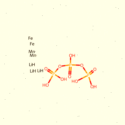 O=P(O)(O)OP(=O)(O)OP(=O)(O)O.[Fe].[Fe].[LiH].[LiH].[LiH].[Mn].[Mn]